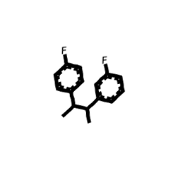 CC(c1ccc(F)cc1)C(C)c1cccc(F)c1